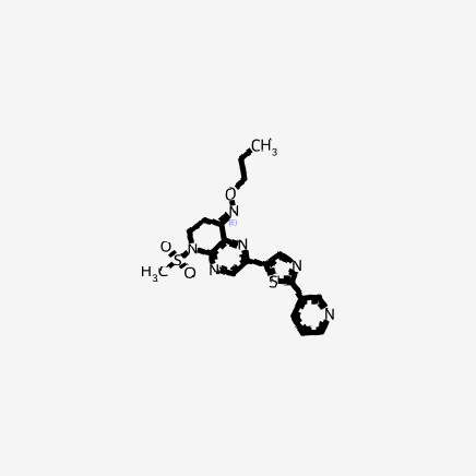 CCCO/N=C1\CCN(S(C)(=O)=O)c2ncc(-c3cnc(-c4cccnc4)s3)nc21